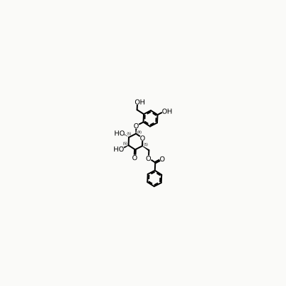 O=C(OC[C@@H]1O[C@H](Oc2ccc(O)cc2CO)[C@@H](O)[C@H](O)C1=O)c1ccccc1